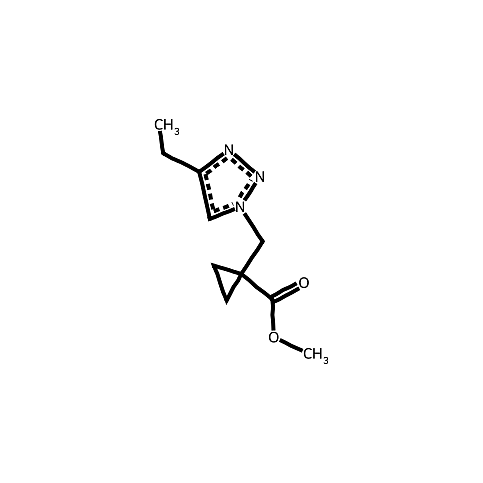 CCc1cn(CC2(C(=O)OC)CC2)nn1